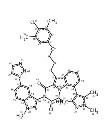 Cc1cc(OCCCc2c3n(c4c(-c5c(C)nn(C)c5C)cccc24)C(C)[C@@H](Cl)N(c2cn(C)c4ccc(-n5ccnn5)cc24)C3=O)cc(C)c1Cl